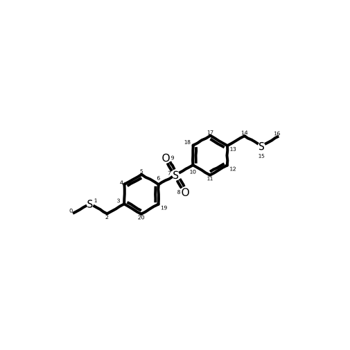 CSCc1ccc(S(=O)(=O)c2ccc(CSC)cc2)cc1